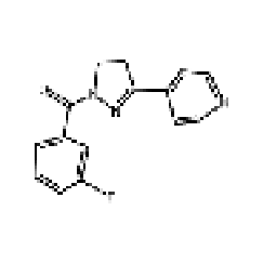 O=C(c1cccc(F)c1)N1CCC(c2ccncc2)=N1